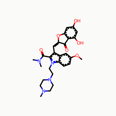 COc1ccc2c(c1)c(C=C1Oc3cc(O)cc(O)c3C1=O)c(C(=O)N(C)C)n2CCN1CCN(C)CC1